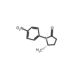 C[C@H]1CCC(=O)N1c1ccc([N+](=O)[O-])cc1